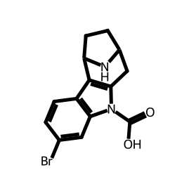 O=C(O)n1c2c(c3ccc(Br)cc31)C1CCC(C2)N1